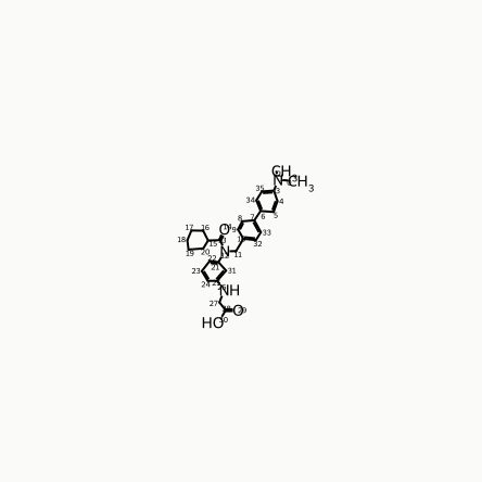 CN(C)c1ccc(-c2ccc(CN(C(=O)C3CCCCC3)c3cccc(NCC(=O)O)c3)cc2)cc1